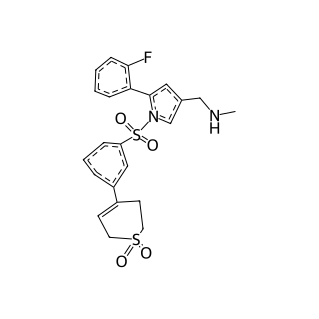 CNCc1cc(-c2ccccc2F)n(S(=O)(=O)c2cccc(C3=CCS(=O)(=O)CC3)c2)c1